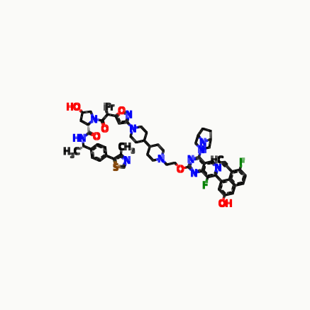 C#Cc1c(F)ccc2cc(O)cc(-c3ncc4c(N5CC6CCC(C5)N6)nc(OCCN5CCC(C6CCN(c7cc([C@@H](C(=O)N8C[C@H](O)C[C@H]8C(=O)N[C@@H](C)c8ccc(-c9scnc9C)cc8)C(C)C)on7)CC6)CC5)nc4c3F)c12